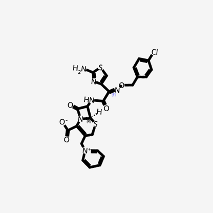 Nc1nc(/C(=N\OCc2ccc(Cl)cc2)C(=O)NC2C(=O)N3C(C(=O)[O-])=C(C[n+]4ccccc4)CS[C@H]23)cs1